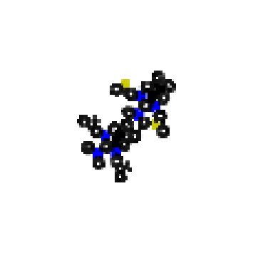 CC1(C)c2ccccc2-c2ccc(N3c4cc(N(c5ccccc5)c5ccccc5)cc5c4B4c6c3cccc6[Si](c3ccccc3)(c3cccc(-c6cccc(N(c7ccccc7)c7cc8c9c(c7)N(c7ccc%10c(c7)sc7ccccc7%10)c7cccc%10c7B9c7c(cccc7[Si]%10(c7ccccc7)c7ccccc7)N8c7ccc8c(c7)sc7ccccc78)c6)c3)c3cccc(c34)N5c3ccc4c(c3)C(C)(C)c3ccccc3-4)cc21